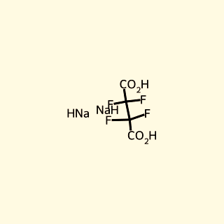 O=C(O)C(F)(F)C(F)(F)C(=O)O.[NaH].[NaH]